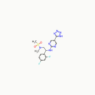 CN(CC(Nc1ncc(-c2nnn[nH]2)cn1)c1ccc(F)cc1F)S(C)(=O)=O